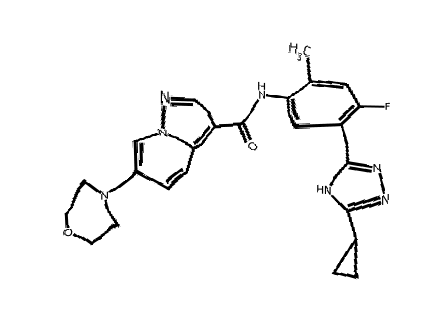 Cc1cc(F)c(-c2nnc(C3CC3)[nH]2)cc1NC(=O)c1cnn2cc(N3CCOCC3)ccc12